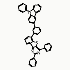 c1ccc(-c2nc(-c3ccccc3)c3sc4c(-c5cccc(-c6ccc7c(c6)c6ccccc6n7-c6ccccc6)c5)cccc4c3n2)cc1